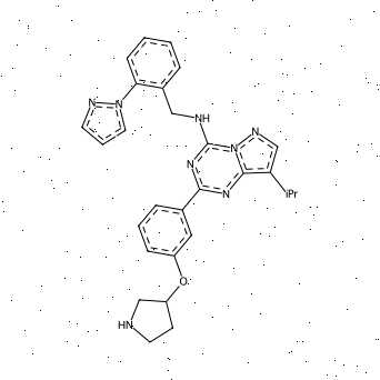 CC(C)c1cnn2c(NCc3ccccc3-n3cccn3)nc(-c3cccc(OC4CCNC4)c3)nc12